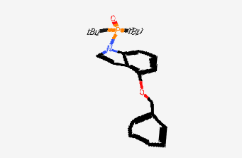 CC(C)(C)P(=O)(n1ccc2c(OCc3ccccc3)cccc21)C(C)(C)C